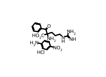 Cl.N=C(N)NCCCC(N)(C(=O)O)C(=O)c1ccccc1.Nc1ccc([N+](=O)[O-])cc1